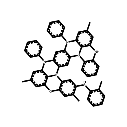 Cc1cc2c3c(c1)N(c1ccccc1)c1cc4c(cc1B3c1ccccc1N2)B1c2cc(Bc3ccccc3C)c(C)cc2Oc2cc(C)cc(c21)N4c1ccccc1